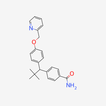 CC(C)(C)C(c1ccc(OCc2ccccn2)cc1)c1ccc(C(N)=O)cc1